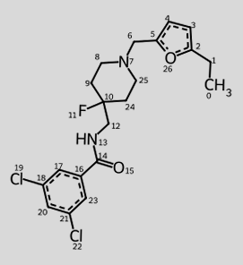 CCc1ccc(CN2CCC(F)(CNC(=O)c3cc(Cl)cc(Cl)c3)CC2)o1